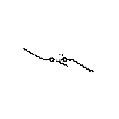 CCCCCCCCCCCCCCC#Cc1ccc(N=CC(CCCCC)=Nc2ccc(C#CCCCCCCCCCCCCCC)cc2)cc1.[Pd]